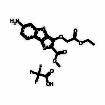 CCOC(=O)COc1c(C(=O)OC)sc2c1sc1cc(N)ccc12.O=C(O)C(F)(F)F